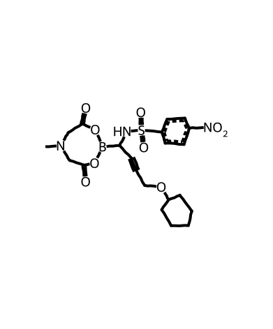 CN1CC(=O)OB(C(C#CCOC2CCCCC2)NS(=O)(=O)c2ccc([N+](=O)[O-])cc2)OC(=O)C1